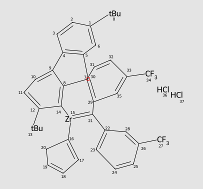 CC(C)(C)c1ccc2c(c1)Cc1c-2ccc(C(C)(C)C)[c]1[Zr]([C]1=CC=CC1)=[C](c1cccc(C(F)(F)F)c1)c1cccc(C(F)(F)F)c1.Cl.Cl